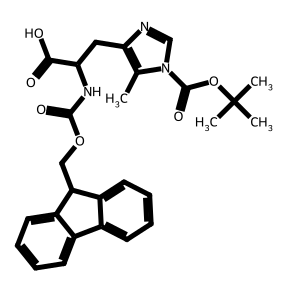 Cc1c(CC(NC(=O)OCC2c3ccccc3-c3ccccc32)C(=O)O)ncn1C(=O)OC(C)(C)C